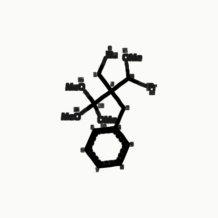 CCC(C)CC(Cc1ccccc1)(C(OC)C(C)C)C(OC)(OC)OC